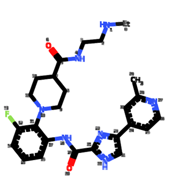 CCNCCNC(=O)C1CCN(c2c(F)cccc2NC(=O)c2nc(-c3ccnc(C)c3)c[nH]2)CC1